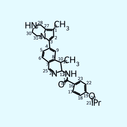 Cc1cc(-c2ccc3c(c2)C(C)C(NC(=O)c2ccc(OC(C)C)cc2)N=C3)n2c1CNCC2